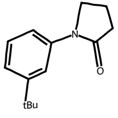 CC(C)(C)c1cccc(N2CCCC2=O)c1